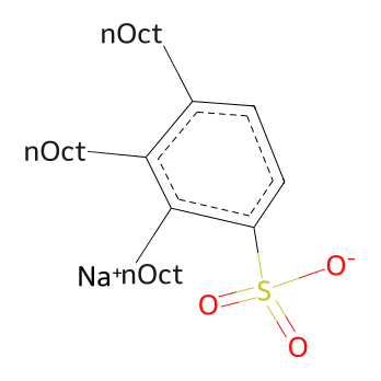 CCCCCCCCc1ccc(S(=O)(=O)[O-])c(CCCCCCCC)c1CCCCCCCC.[Na+]